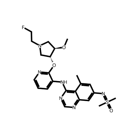 CO[C@@H]1CN(CCF)C[C@H]1Oc1ncccc1Nc1ncnc2cc(N=S(C)(C)=O)cc(C)c12